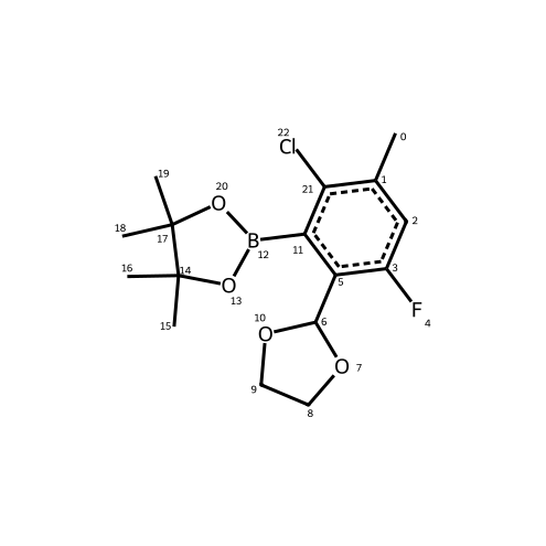 Cc1cc(F)c(C2OCCO2)c(B2OC(C)(C)C(C)(C)O2)c1Cl